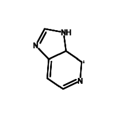 [C]1N=CC=C2N=CNC12